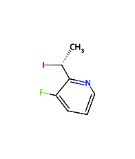 C[C@@H](I)c1ncccc1F